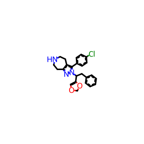 Clc1ccc(-c2c3c(nn2C(Cc2ccccc2)C2=COCO2)CCNCC3)cc1